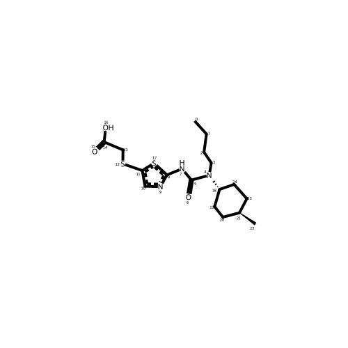 CCCCN(C(=O)Nc1ncc(SCC(=O)O)s1)[C@H]1CC[C@H](C)CC1